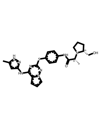 Cc1cc(Nc2nc(Sc3ccc(NC(=O)[C@@H](C)N4CCC[C@@H]4CO)cc3)nn3cccc23)n[nH]1